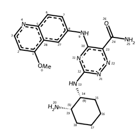 COc1ccnc2ccc(Nc3nc(N[C@@H]4CCCC[C@@H]4N)nnc3C(N)=O)cc12